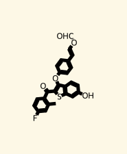 Cc1cc(F)ccc1C(=O)c1sc2cc(O)ccc2c1Oc1ccc(/C=C/OC=O)cc1